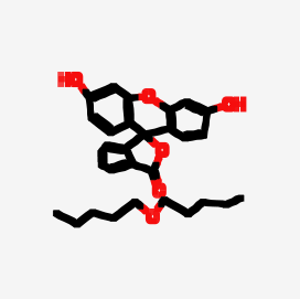 CCCCCOCCCCC.O=C1OC2(c3ccc(O)cc3Oc3cc(O)ccc32)c2ccccc21